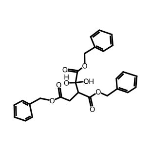 O=C(CC(C(=O)OCc1ccccc1)C(O)(O)C(=O)OCc1ccccc1)OCc1ccccc1